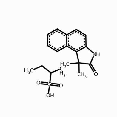 CC1(C)C(=O)Nc2ccc3ccccc3c21.CCC(C)S(=O)(=O)O